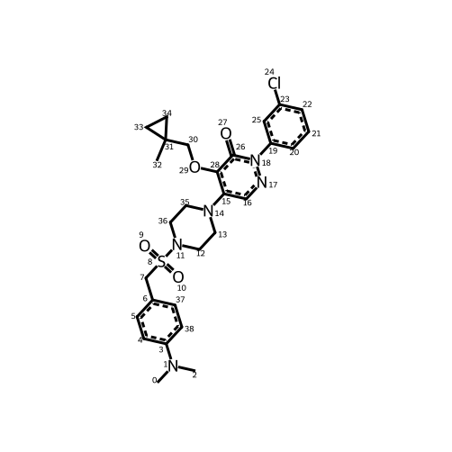 CN(C)c1ccc(CS(=O)(=O)N2CCN(c3cnn(-c4cccc(Cl)c4)c(=O)c3OCC3(C)CC3)CC2)cc1